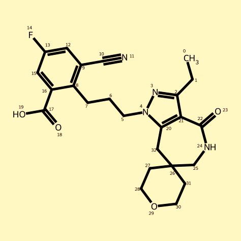 CCc1nn(CCCc2c(C#N)cc(F)cc2C(=O)O)c2c1C(=O)NCC1(CCOCC1)C2